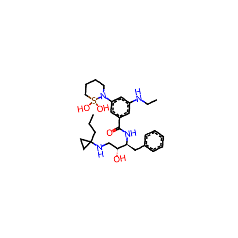 CCCC1(NC[C@@H](O)[C@H](Cc2ccccc2)NC(=O)c2cc(NCC)cc(N3CCCCS3(O)O)c2)CC1